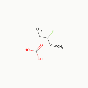 C=CC(F)CC.O=C(O)O